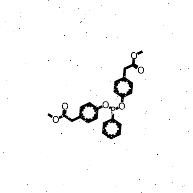 COC(=O)Cc1ccc(OP(Oc2ccc(CC(=O)OC)cc2)c2ccccc2)cc1